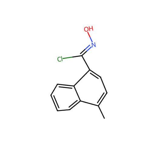 Cc1ccc(C(Cl)=NO)c2ccccc12